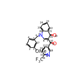 COc1cccc(Cn2cc(C(=O)c3ccc(C(F)(F)F)nc3)c(=O)c3ccccc32)c1